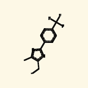 [CH2]Cc1nc(-c2ccc(C(F)(F)F)cc2)sc1C